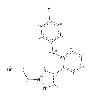 OCCn1nnc(-c2ccccc2Nc2ccc(F)cc2)n1